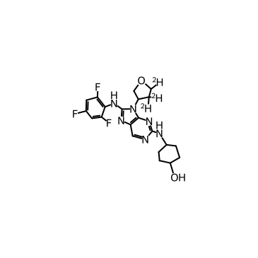 [2H]C1OCC(n2c(Nc3c(F)cc(F)cc3F)nc3cnc(NC4CCC(O)CC4)nc32)C1([2H])[2H]